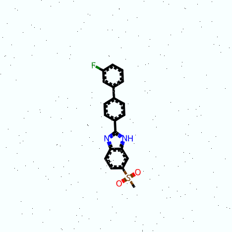 CS(=O)(=O)c1ccc2nc(-c3ccc(-c4cccc(F)c4)cc3)[nH]c2c1